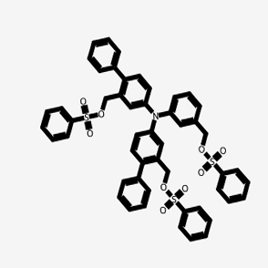 O=S(=O)(OCc1cccc(N(c2ccc(-c3ccccc3)c(COS(=O)(=O)c3ccccc3)c2)c2ccc(-c3ccccc3)c(COS(=O)(=O)c3ccccc3)c2)c1)c1ccccc1